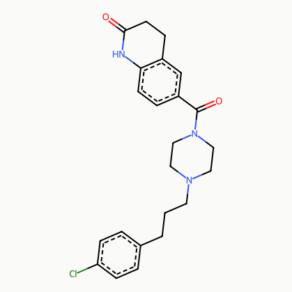 O=C1CCc2cc(C(=O)N3CCN(CCCc4ccc(Cl)cc4)CC3)ccc2N1